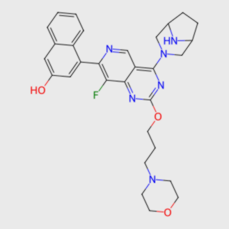 Oc1cc(-c2ncc3c(N4CC5CCC(C4)N5)nc(OCCCN4CCOCC4)nc3c2F)c2ccccc2c1